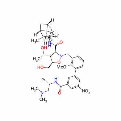 COc1c(CN2O[C@@H](CO)[C@H]([C@H](C)O)[C@H]2C(=O)N[C@H]2C[C@H]3C[C@@H]([C@@H]2C)C3(C)C)cccc1-c1cc(C(=O)N[C@H](CN(C)C)C(C)C)cc([N+](=O)[O-])c1